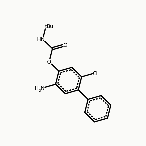 CC(C)(C)NC(=O)Oc1cc(Cl)c(-c2ccccc2)cc1N